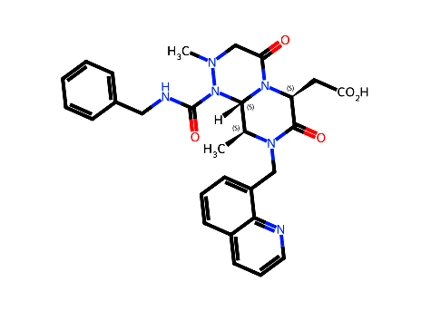 C[C@H]1[C@H]2N(C(=O)CN(C)N2C(=O)NCc2ccccc2)[C@@H](CC(=O)O)C(=O)N1Cc1cccc2cccnc12